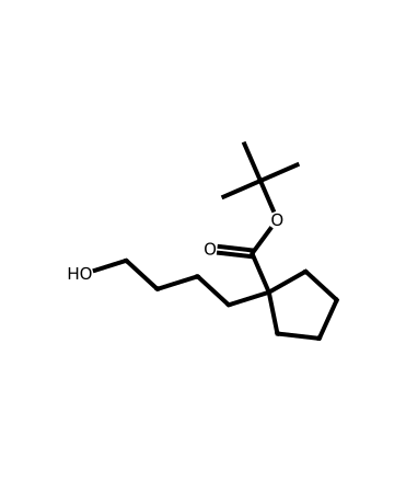 CC(C)(C)OC(=O)C1(CCCCO)CCCC1